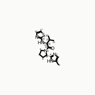 Cc1cnc([C@@H]2CCCN2C(=O)[C@@H](Nc2nccs2)C(C)C)[nH]1